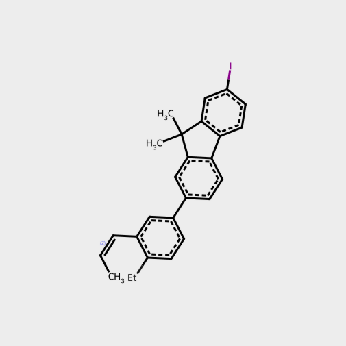 C/C=C\c1cc(-c2ccc3c(c2)C(C)(C)c2cc(I)ccc2-3)ccc1CC